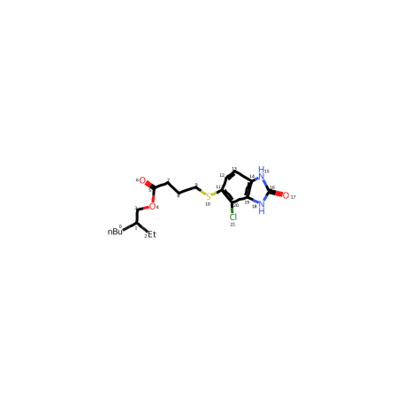 CCCCC(CC)COC(=O)CCCSc1ccc2[nH]c(=O)[nH]c2c1Cl